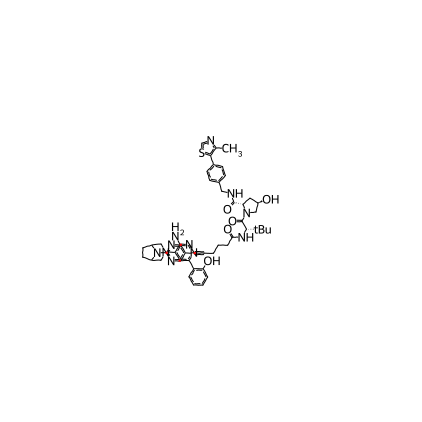 Cc1ncsc1-c1ccc(CNC(=O)[C@@H]2C[C@@H](O)CN2C(=O)[C@@H](NC(=O)CCCC#Cc2cnc(N3C4CCC3CN(c3cc(-c5ccccc5O)nnc3N)C4)nc2)C(C)(C)C)cc1